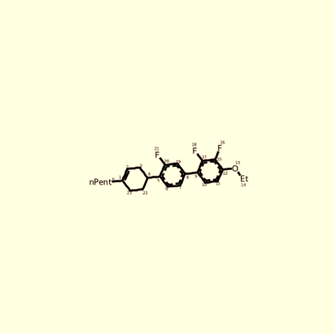 CCCCCC1=CCC(c2ccc(-c3ccc(OCC)c(F)c3F)cc2F)CC1